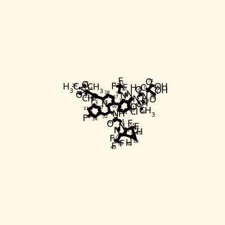 CC(NC(=O)N(c1nn(CC(F)(F)F)c2c(-c3ccc(C#CC(C)(C)S(C)(=O)=O)nc3C(Cc3cc(F)cc(F)c3)NC(=O)Cn3nc(C(F)(F)F)c4c3C(F)(F)[C@@H]3C[C@H]43)ccc(Cl)c12)S(C)(=O)=O)(C(=O)O)C(=O)O